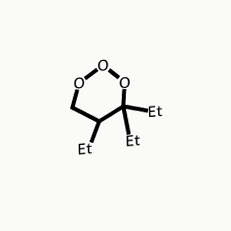 CCC1COOOC1(CC)CC